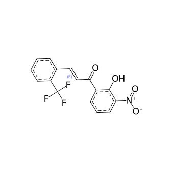 O=C(/C=C/c1ccccc1C(F)(F)F)c1cccc([N+](=O)[O-])c1O